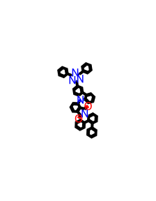 O=C1c2cccc(-n3c4ccccc4c4cc(-c5nc(-c6ccccc6)nc(-c6ccccc6)n5)ccc43)c2C(=O)N1c1cccc(-c2ccccc2)c1-c1ccccc1